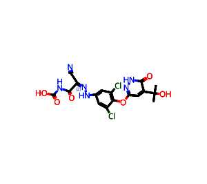 CC(C)(O)c1cc(Oc2c(Cl)cc(N/N=C(/C#N)C(=O)NC(=O)O)cc2Cl)n[nH]c1=O